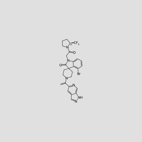 C=C(c1cc2cn[nH]c2cn1)N1CCC2(CC1)C(=O)N(CC(=O)N1CCC[C@H]1C(F)(F)F)c1cccc(Br)c12